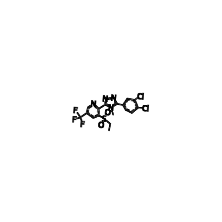 CCS(=O)(=O)c1cc(C(F)(F)F)cnc1-c1nnc(-c2ccc(Cl)c(Cl)c2)n1C